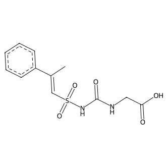 C/C(=C\S(=O)(=O)NC(=O)NCC(=O)O)c1ccccc1